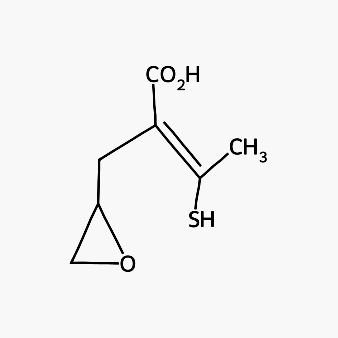 CC(S)=C(CC1CO1)C(=O)O